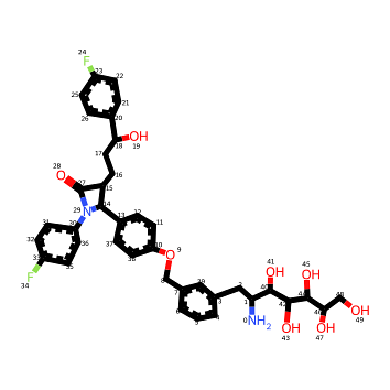 NC(Cc1cccc(COc2ccc(C3C(CCC(O)c4ccc(F)cc4)C(=O)N3c3ccc(F)cc3)cc2)c1)C(O)C(O)C(O)C(O)CO